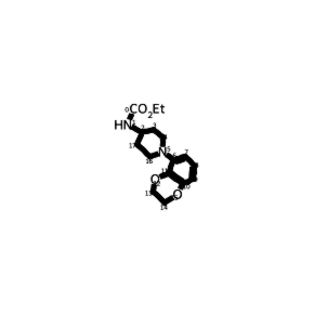 CCOC(=O)NC1CCN(c2cccc3c2OCCO3)CC1